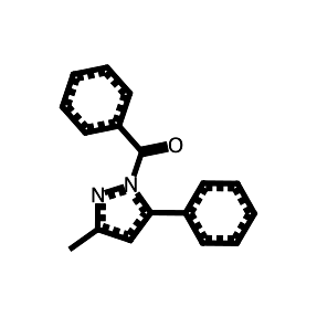 Cc1cc(-c2ccccc2)n(C(=O)c2ccccc2)n1